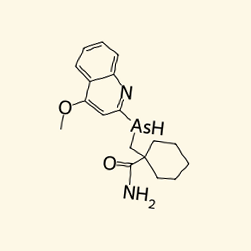 COc1cc([AsH]CC2(C(N)=O)CCCCC2)nc2ccccc12